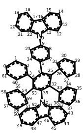 c1ccc(-c2c(-c3ccc(-n4c5ccccc5c5ccccc54)cc3)c(-c3ccccc3)c(-c3ccccc3)c(-n3c4ccccc4c4ccccc43)c2-c2ccccc2)cc1